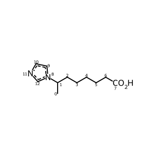 CC(CCCCCC(=O)O)n1ccnc1